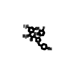 CC(=O)N1CCC(CN2C[C@@H](N(C)C(=O)N(C)c3cc(C(F)(F)F)cc(C(F)(F)F)c3)[C@H](c3ccc(F)cc3)C2)CC1